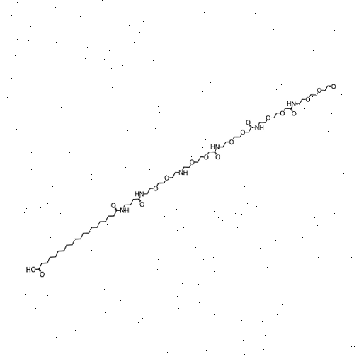 O=CCOCCOCCNC(=O)COCCOCCNC(=O)COCCOCCNC(=O)COCCOCCNCCOCCOCCNC(=O)CCCNC(=O)CCCCCCCCCCCCCCCCCCC(=O)O